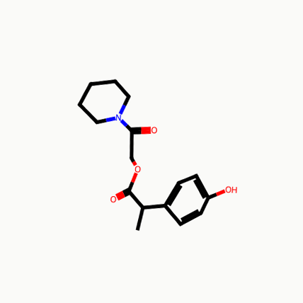 CC(C(=O)OCC(=O)N1CCCCC1)c1ccc(O)cc1